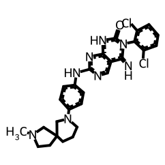 CN1CCC2(CCCN(c3ccc(Nc4ncc5c(=N)n(-c6c(Cl)cccc6Cl)c(=O)[nH]c5n4)cc3)C2)C1